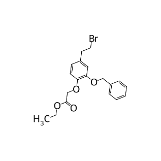 CCOC(=O)COc1ccc(CCBr)cc1OCc1ccccc1